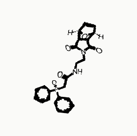 O=C(CP(=O)(c1ccccc1)c1ccccc1)NCCN1C(=O)C2C(C1=O)[C@H]1C=C[C@@H]2O1